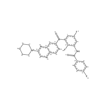 O=C(Nc1cc(F)cc(C(=O)c2cc3nc(N4CCOCC4)cnc3cn2)c1F)c1ccc(F)cc1